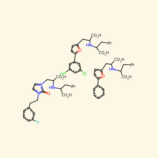 CC(C)CC(NC(Cc1ccc(-c2cc(Cl)cc(Cl)c2)o1)C(=O)O)C(=O)O.CC(C)CC(NC(Cc1ccc(-c2ccccc2)o1)C(=O)O)C(=O)O.CC(C)CC(NC(Cn1ccn(CCc2cccc(F)c2)c1=O)C(=O)O)C(=O)O